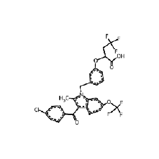 Cc1c(C(=O)c2ccc(Cl)cc2)c2ccc(OC(F)(F)F)cc2n1Cc1cccc(OC(CC(F)(F)F)C(=O)O)c1